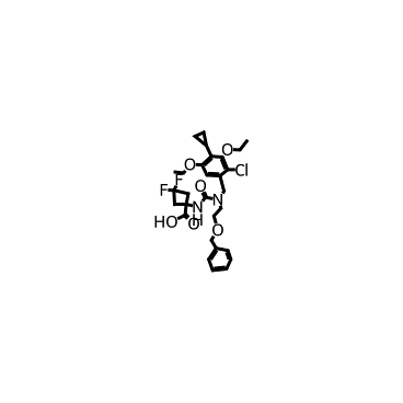 CCOc1cc(CN(CCOCc2ccccc2)C(=O)NC2(C(=O)O)CC(F)(F)C2)c(Cl)c(OCC)c1C1CC1